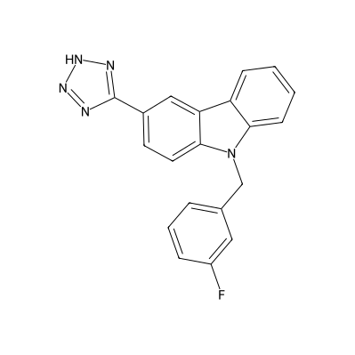 Fc1cccc(Cn2c3ccccc3c3cc(-c4nn[nH]n4)ccc32)c1